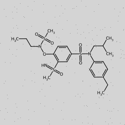 CCCN(Oc1ccc(S(=O)(=O)N(CC(C)C)c2ccc(CC)cc2)cc1S(C)(=N)=O)S(C)(=O)=O